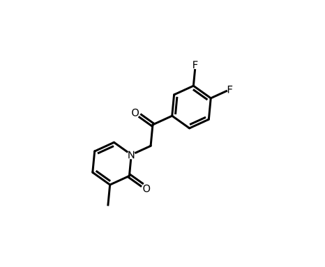 Cc1cccn(CC(=O)c2ccc(F)c(F)c2)c1=O